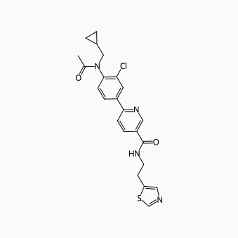 CC(=O)N(CC1CC1)c1ccc(-c2ccc(C(=O)NCCc3cncs3)cn2)cc1Cl